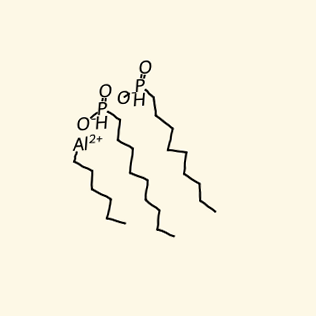 CCCCCCCCC[PH](=O)[O-].CCCCCCCCC[PH](=O)[O-].CCCCC[CH2][Al+2]